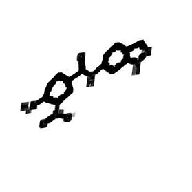 Nc1ccc(C(=O)Nc2ccc3cn[nH]c3c2)cc1[N+](=O)[O-]